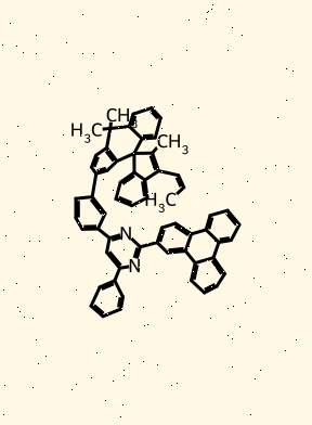 C/C=C\C1=C(C)C2(c3ccccc31)c1ccccc1C(C)(C)c1ccc(-c3cccc(-c4cc(-c5ccccc5)nc(-c5ccc6c7ccccc7c7ccccc7c6c5)n4)c3)cc12